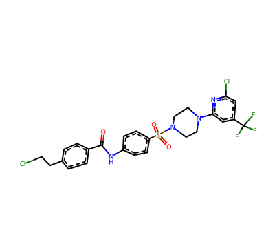 O=C(Nc1ccc(S(=O)(=O)N2CCN(c3cc(C(F)(F)F)cc(Cl)n3)CC2)cc1)c1ccc(CCCl)cc1